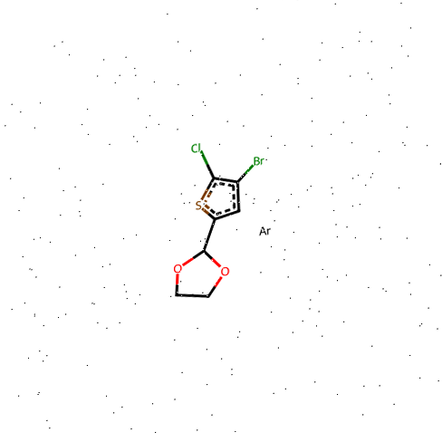 Clc1sc(C2OCCO2)cc1Br.[Ar]